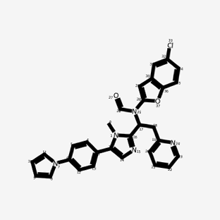 Cn1c(-c2ccc(-n3cccc3)cc2)cnc1C(Cc1ccccn1)N(C=O)c1cc2cc(Cl)ccc2o1